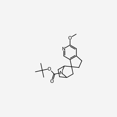 COc1cc2c(cn1)C1(CC2)CC2CCC1N2C(=O)OC(C)(C)C